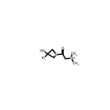 CCC1(O)CN(C(=O)C[SH](C)C)C1